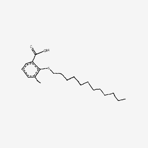 CCCCCCCCCCCCSc1c(C)cccc1C(=O)O